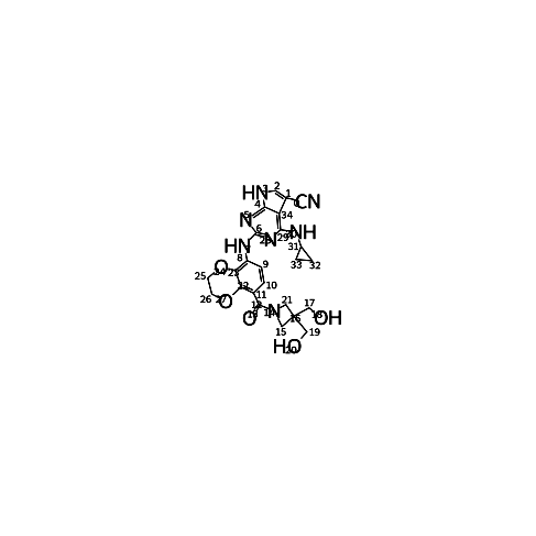 N#Cc1c[nH]c2nc(Nc3ccc(C(=O)N4CC(CO)(CO)C4)c4c3OCCO4)nc(NC3CC3)c12